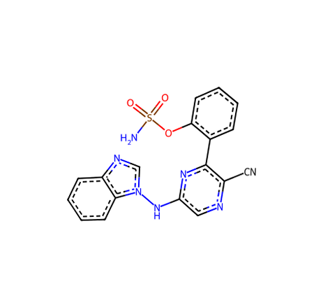 N#Cc1ncc(Nn2cnc3ccccc32)nc1-c1ccccc1OS(N)(=O)=O